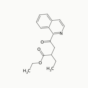 CCOC(=O)C(CC)CC(=O)c1nccc2ccccc12